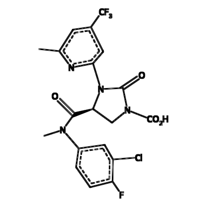 Cc1cc(C(F)(F)F)cc(N2C(=O)N(C(=O)O)C[C@H]2C(=O)N(C)c2ccc(F)c(Cl)c2)n1